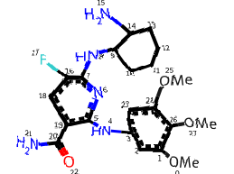 COc1cc(Nc2nc(NC3CCCCC3N)c(F)cc2C(N)=O)cc(OC)c1OC